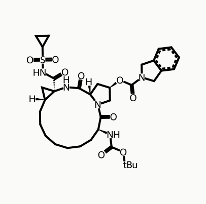 CC(C)(C)OC(=O)N[C@H]1CCCCCCC[C@@H]2C[C@@]2(C(=O)NS(=O)(=O)C2CC2)NC(=O)[C@@H]2C[C@@H](OC(=O)N3Cc4ccccc4C3)CN2C1=O